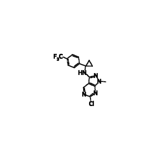 Cn1nc(NC2(c3ccc(C(F)(F)F)cc3)CC2)c2cnc(Cl)nc21